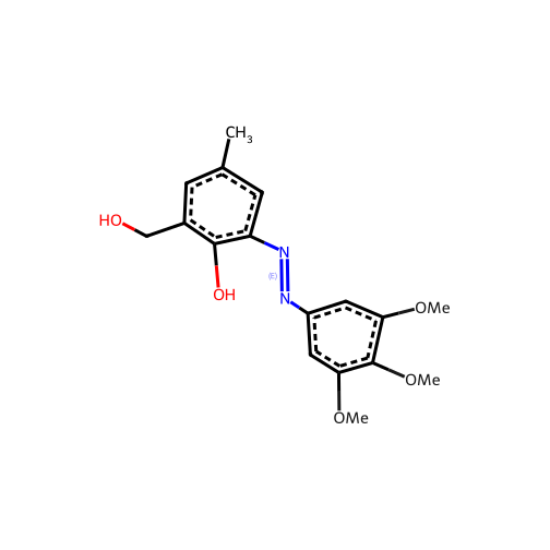 COc1cc(/N=N/c2cc(C)cc(CO)c2O)cc(OC)c1OC